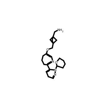 NCC12CC(COC3=CN=C(C4=CCC=NN4C4CCCCO4)CCC3)(C1)C2